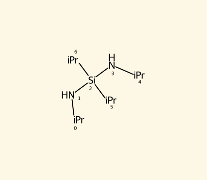 CC(C)N[Si](NC(C)C)(C(C)C)C(C)C